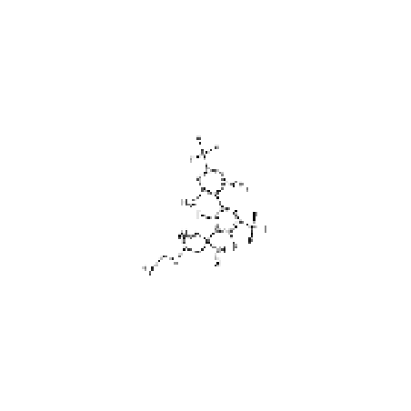 CCOC(=O)CC([SiH3])(NS)c1c(F)c(-c2c(C)cc(C(F)(F)F)cc2C)cc(C(F)(F)F)c1F